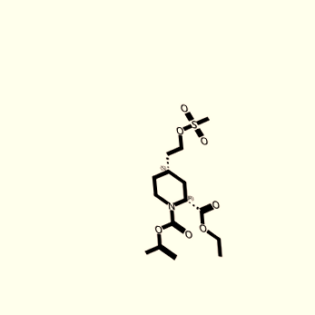 C=C(C)OC(=O)N1CC[C@H](CCOS(C)(=O)=O)C[C@@H]1C(=O)OCC